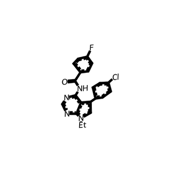 CCn1cc(-c2ccc(Cl)cc2)c2c(NC(=O)c3ccc(F)cc3)ncnc21